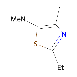 CCc1nc(C)c(NC)s1